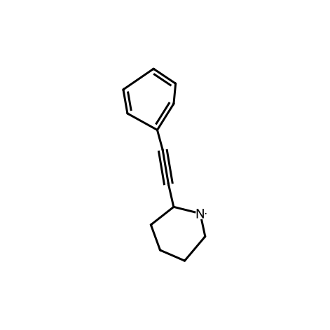 C(#CC1CCCC[N]1)c1ccccc1